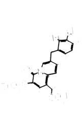 CCOC(=O)c1cc(CC(=O)O)c2ccc(Cc3cccc(Cl)c3F)cn2c1=O